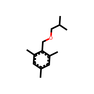 Cc1cc(C)c(COCC(C)C)c(C)c1